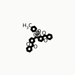 Cc1ccc(S(=O)(=O)O[I+](c2ccc3oc4ccccc4c(=O)c3c2)c2ccc3oc4ccccc4c(=O)c3c2)cc1